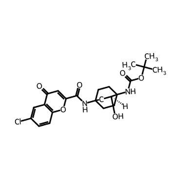 CC(C)(C)OC(=O)NC12CCC(NC(=O)c3cc(=O)c4cc(Cl)ccc4o3)(CC1)C[C@@H]2O